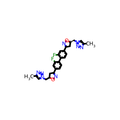 Cc1cn(CC2CC(c3ccc(-c4ccc(C5=NO[C@@H](Cn6cc(C)nn6)C5)cc4F)c(F)c3)=NO2)nn1